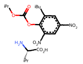 CC(C)[C@H](N)C(=O)O.CCC(C)c1cc([N+](=O)[O-])cc([N+](=O)[O-])c1OC(=O)OC(C)C